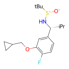 CC(C)[C@@H](N[S+]([O-])C(C)(C)C)c1ccc(F)c(OCC2CC2)c1